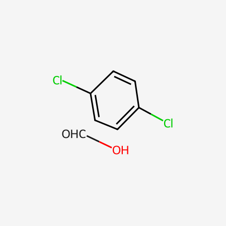 Clc1ccc(Cl)cc1.O=CO